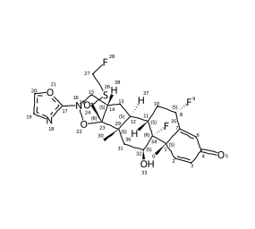 C[C@]12C=CC(=O)C=C1[C@@H](F)C[C@H]1[C@@H]3C[C@H]4CN(c5ncco5)O[C@@]4(C(=O)SCF)[C@@]3(C)C[C@H](O)[C@@]12F